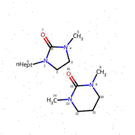 CCCCCCCN1CCN(C)C1=O.CN1CCCN(C)C1=O